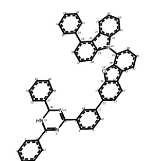 c1ccc(C2=NC(c3cccc(-c4ccc5c(c4)oc4c(-n6c7ccccc7c7c(-c8ccccc8)cccc76)cccc45)c3)=NC(c3ccccc3)N2)cc1